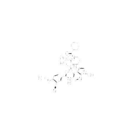 COc1ccc(C(=O)Nc2cnc3c(c([C@@H]4CCN(C(=O)C5CCCCC5)C(C)(C)C4)cn3C)c2OC)cc1C#N